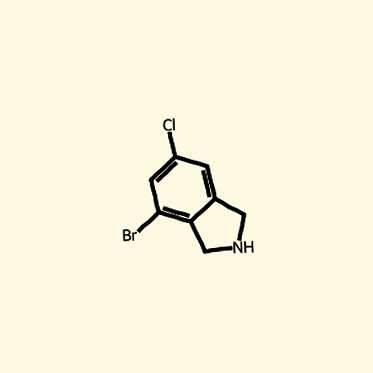 Clc1cc(Br)c2c(c1)CNC2